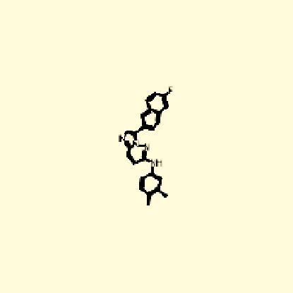 Cc1ccc(Nc2ccc3ncc(-c4ccc5cc(F)ccc5c4)n3n2)cc1C